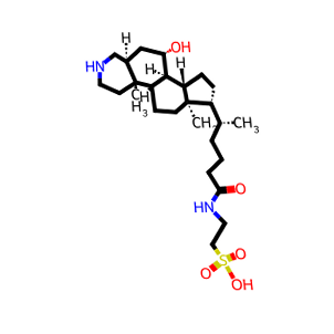 C[C@H](CCCC(=O)NCCS(=O)(=O)O)[C@H]1CC[C@H]2[C@@H]3[C@@H](O)C[C@@H]4CNCC[C@]4(C)[C@H]3CC[C@]12C